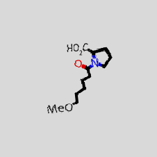 COCCCCCC(=O)N1CCCC1C(=O)O